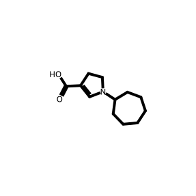 O=C(O)C1=CN(C2CCCCCC2)CC1